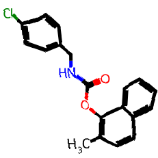 Cc1ccc2ccccc2c1OC(=O)NCc1ccc(Cl)cc1